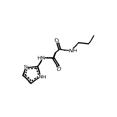 CCCNC(=O)C(=O)Nc1ncc[nH]1